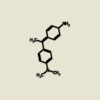 CC(=C1C=CC(N)C=C1)c1ccc(N(C)C)cc1